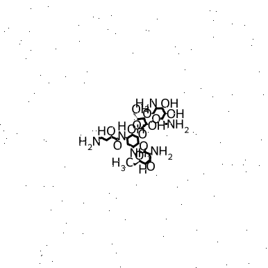 CC[C@H]1O[C@H](O[C@H]2[C@H](O[C@@H]3O[C@H](CO)[C@@H](O[C@H]4O[C@@H](CN)[C@@H](O)[C@H](O)[C@H]4N)[C@H]3O)[C@@H](O)[C@H](NC(=O)[C@@H](O)CCN)C[C@@H]2N)[C@H](N)C2O[C@H]21